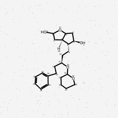 OC1C[C@H]2C(C[C@@H](O)[C@@H]2CC[C@H](CCc2ccccc2)OC2CCCCO2)O1